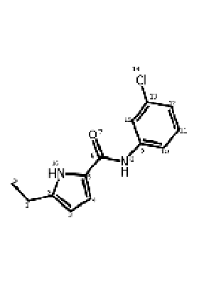 CCc1ccc(C(=O)Nc2cccc(Cl)c2)[nH]1